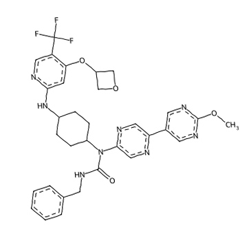 COc1ncc(-c2cnc(N(C(=O)NCc3ccccc3)C3CCC(Nc4cc(OC5COC5)c(C(F)(F)F)cn4)CC3)cn2)cn1